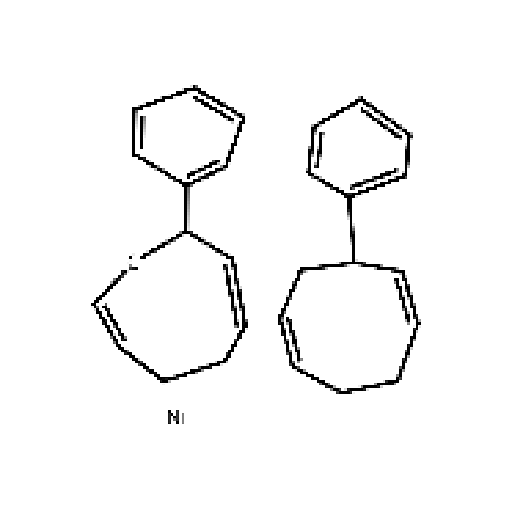 C1=CCC(c2ccccc2)C=CCC1.C1=CCC(c2ccccc2)C=CCC1.[Ni]